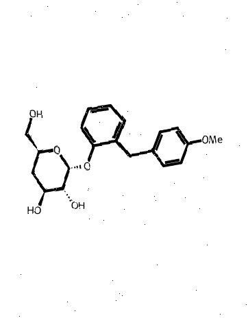 COc1ccc(Cc2ccccc2O[C@H]2O[C@H](CO)C[C@H](O)[C@H]2O)cc1